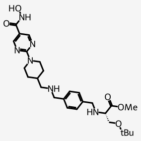 COC(=O)[C@H](COC(C)(C)C)NCc1ccc(CNCC2CCN(c3ncc(C(=O)NO)cn3)CC2)cc1